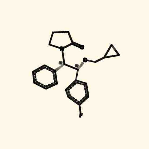 O=C1CCCN1[C@@H](c1ccccc1)[C@H](OCC1CC1)c1ccc(F)cc1